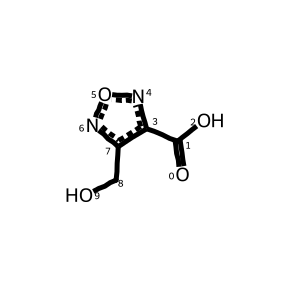 O=C(O)c1nonc1CO